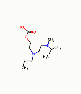 CCCN(CCOC(=O)O)CCN(C)C(C)C